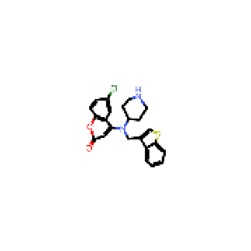 O=c1cc(N(Cc2csc3ccccc23)C2CCNCC2)c2cc(Cl)ccc2o1